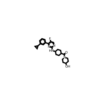 O=C(C1CCC(Nc2ncc(F)c(-c3cccc(C4CC4)c3)n2)CC1)N1CCC(O)CC1